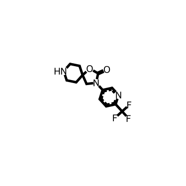 O=C1OC2(CCNCC2)CN1c1ccc(C(F)(F)F)nc1